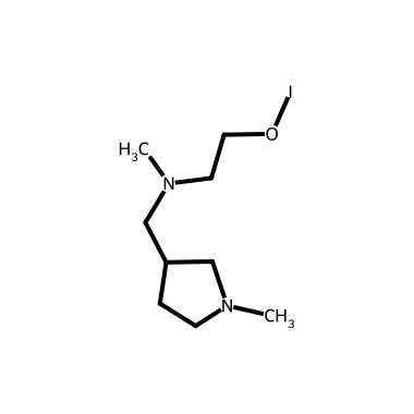 CN(CCOI)CC1CCN(C)C1